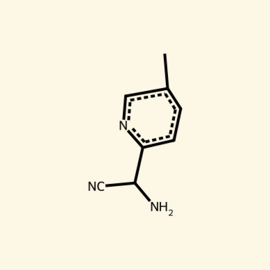 Cc1ccc(C(N)C#N)nc1